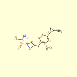 BC1CC1c1ccc(CC2CN(C(=O)C(N)CC)C2)c(C=O)c1